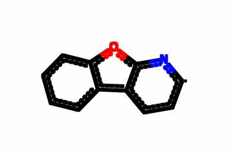 [c]1ccc2c(n1)oc1ccccc12